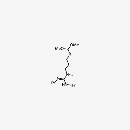 COC(OC)SCCCN(C)/C(=N/C(C)C)NC(C)C